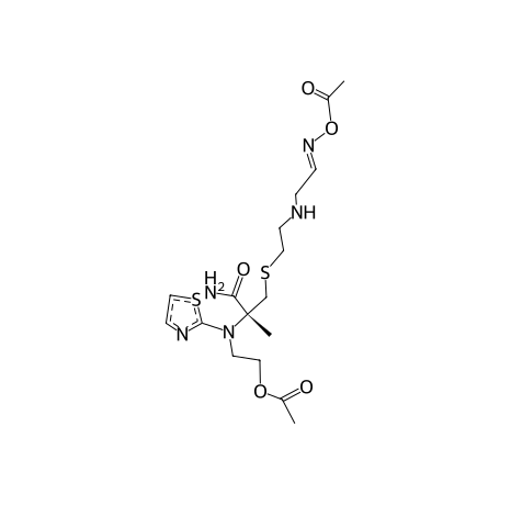 CC(=O)OCCN(c1nccs1)[C@@](C)(CSCCNCC=NOC(C)=O)C(N)=O